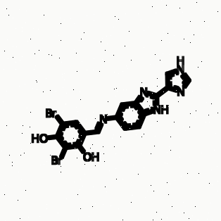 Oc1c(Br)cc(/C=N/c2ccc3[nH]c(-c4c[nH]cn4)nc3c2)c(O)c1Br